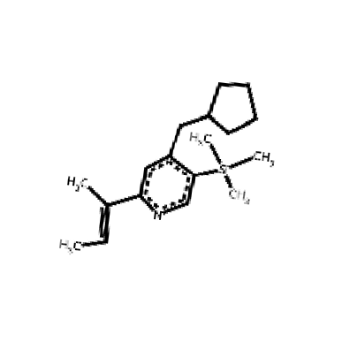 C/C=C(\C)c1cc(CC2CCCC2)c([Si](C)(C)C)cn1